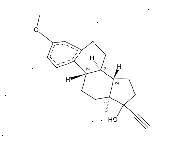 C#CC1(O)CC[C@H]2[C@@H]3CCc4cc(OC)ccc4[C@H]3CC[C@@]21C